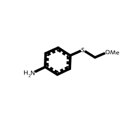 COCSc1ccc(N)cc1